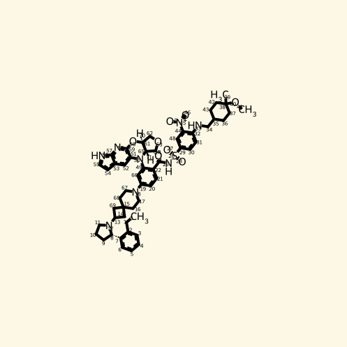 CCc1ccccc1[C@@H]1CCCN1C1CC2(CCN(c3ccc(C(=O)NS(=O)(=O)c4ccc(NCC5CCC(C)(OC)CC5)c([N+](=O)[O-])c4)c(N4c5cc6cc[nH]c6nc5O[C@H]5COC[C@@H]54)c3)CC2)C1